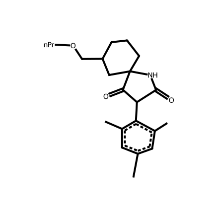 CCCOCC1CCCC2(C1)NC(=O)C(c1c(C)cc(C)cc1C)C2=O